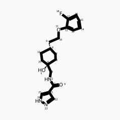 O=C(NC[C@]1(O)CC[C@@H](CCOc2ccccc2F)CC1)c1cn[nH]c1